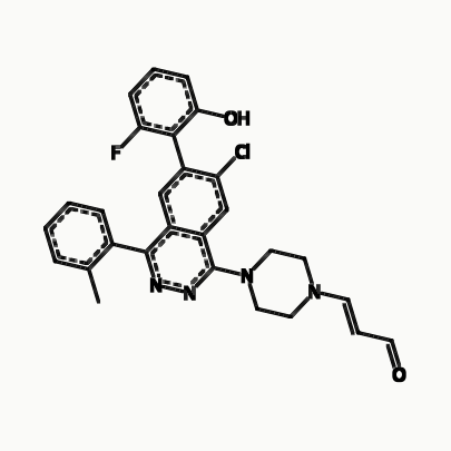 Cc1ccccc1-c1nnc(N2CCN(C=CC=O)CC2)c2cc(Cl)c(-c3c(O)cccc3F)cc12